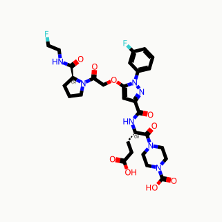 O=C(O)CC[C@H](NC(=O)c1cc(OCC(=O)N2CCC[C@H]2C(=O)NCCF)n(-c2cccc(F)c2)n1)C(=O)N1CCN(C(=O)O)CC1